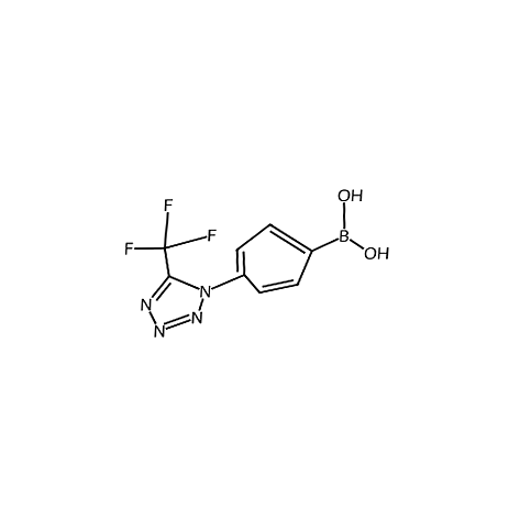 OB(O)c1ccc(-n2nnnc2C(F)(F)F)cc1